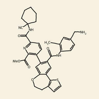 COC(=O)c1nc(C(=O)NC2(C#N)CCCCC2)ccc1-c1cc2c(cc1C(=O)Nc1ccc(CN)cc1C)-c1sccc1CCO2